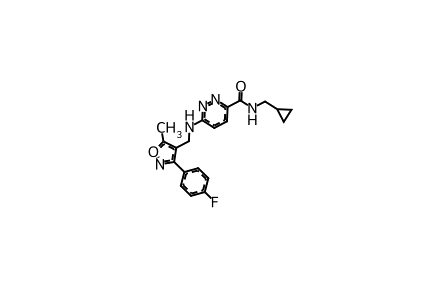 Cc1onc(-c2ccc(F)cc2)c1CNc1ccc(C(=O)NCC2CC2)nn1